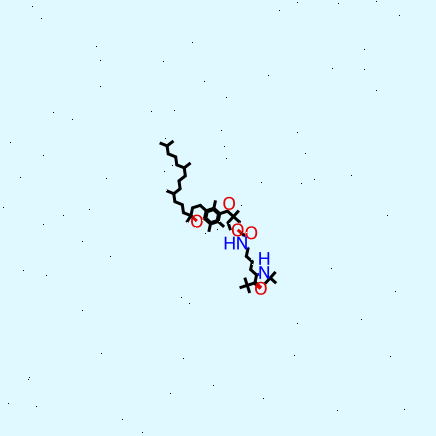 CCC(C)(COC(=O)NCCCCC(NC(C)(C)C)C(=O)C(C)(C)C)C(=O)c1c(C)c(C)c2c(c1C)CCC(C)(CCCC(C)CCCC(C)CCCC(C)C)O2